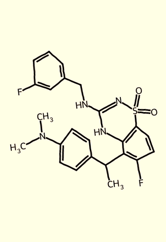 CC(c1ccc(N(C)C)cc1)c1c(F)ccc2c1NC(NCc1cccc(F)c1)=NS2(=O)=O